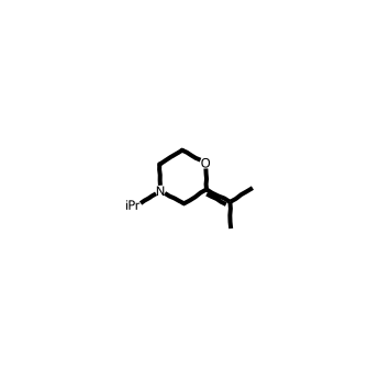 CC(C)=C1CN(C(C)C)CCO1